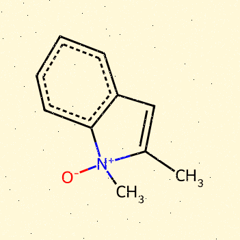 CC1=Cc2ccccc2[N+]1(C)[O-]